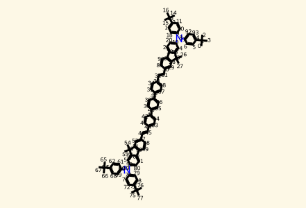 CC(C)(C)c1ccc(N(c2ccc(C(C)(C)C)cc2)c2ccc3c(c2)C(C)(C)c2cc(/C=C/c4ccc(-c5ccc(-c6ccc(/C=C/c7ccc8c(c7)C(C)(C)c7cc(N(c9ccc(C(C)(C)C)cc9)c9ccc(C(C)(C)C)cc9)ccc7-8)cc6)cc5)cc4)ccc2-3)cc1